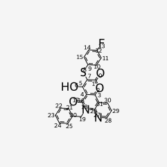 O=c1oc2c(c(O)c1Sc1ccc(F)cc1)c(=O)n(Cc1ccccc1)c1ncccc21